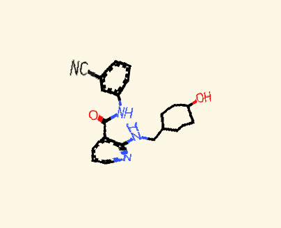 N#Cc1cccc(NC(=O)c2cccnc2NCC2CCC(O)CC2)c1